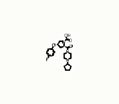 O=C([C@H]1C[C@H](Oc2ccc(F)cc2)CN1C(=O)O)N1CCN(C2CCCC2)CC1